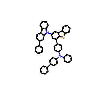 c1ccc(-c2ccc(N(c3ccccc3)c3ccc(-c4cc(-n5c6ccccc6c6ccc(-c7ccccc7)cc65)cc5c4sc4ccccc45)cc3)cc2)cc1